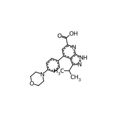 CC(C)c1n[nH]c2nc(C(=O)O)cc(-c3ccc(N4CCOCC4)cc3)c12